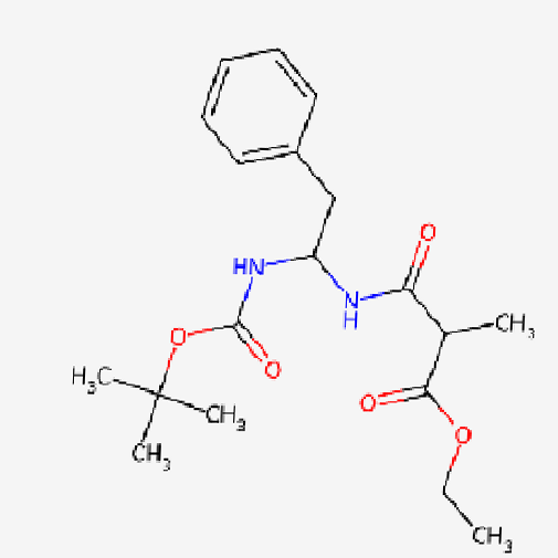 CCOC(=O)C(C)C(=O)NC(Cc1ccccc1)NC(=O)OC(C)(C)C